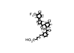 O=C(O)CCSCc1cccc(C(=O)Nc2ccc(Cl)cc2C(=O)c2cnn(-c3ccc(Cl)c(C(F)(F)F)c3)c2)c1